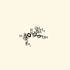 CCOC(=O)N=S(C)(=O)c1ccc(Nc2ncc(-c3cc(CO)cs3)c(N[C@H](C)CO)n2)cc1